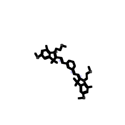 COCCN1/C(=C/C=C2C=C(/C=C/C3=[N+](CCOC)c4c(C)cc(OC)cc4C3(C)C)CCC/2)C(C)(C)c2cc(OC)cc(C)c21